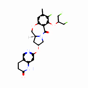 Cc1cc2c(c(OC(CF)CF)c1F)C(=O)N1C[C@@H](Oc3cc4c(cn3)CCC(=O)N4)C[C@@H]1CO2